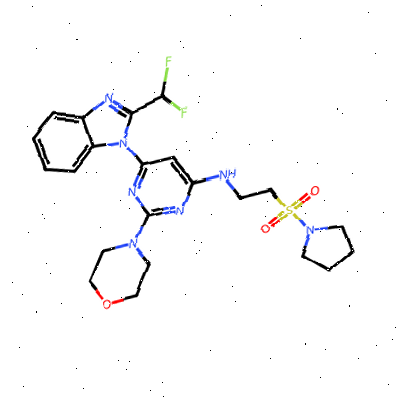 O=S(=O)(CCNc1cc(-n2c(C(F)F)nc3ccccc32)nc(N2CCOCC2)n1)N1CCCC1